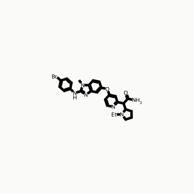 CCN1CCCC1C(C(N)=O)c1cc(Oc2ccc3c(c2)nc(Nc2ccc(Br)cc2)n3C)ccn1